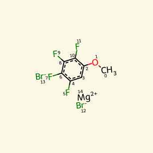 COc1cc(F)c(F)c(F)c1F.[Br-].[Br-].[Mg+2]